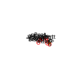 CCCCCC(C)(C)CC(C)(C(=O)OC1C2CCC(C2)S1(=O)=O)C(C)(CCCCC)C(C)(CCCCC)CC(C)(C(=O)OC(C)(C)C)C(C)(CCCCC)C(C)(CC)CC(C)(C(=O)O)C(C)(C)CC